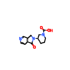 O=C(O)N1CCCC(N2Cc3cnccc3C2=O)C1